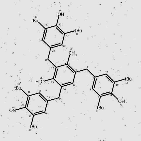 Cc1c(Cc2cc(C(C)(C)C)c(O)c(C(C)(C)C)c2)cc(Cc2cc(C(C)(C)C)c(N=O)c(C(C)(C)C)c2)c(C)c1Cc1cc(C(C)(C)C)c(O)c(C(C)(C)C)c1